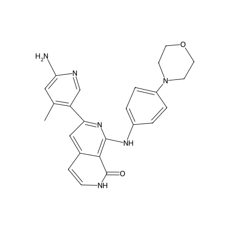 Cc1cc(N)ncc1-c1cc2cc[nH]c(=O)c2c(Nc2ccc(N3CCOCC3)cc2)n1